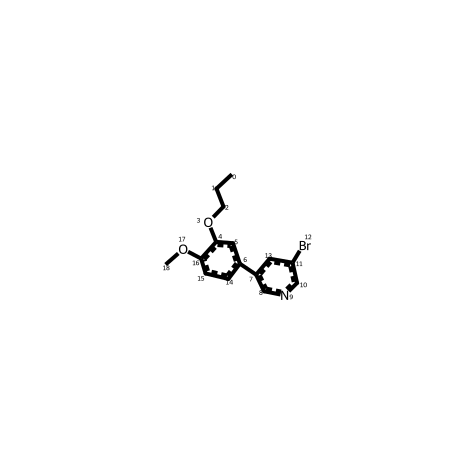 CCCOc1cc(-c2cncc(Br)c2)ccc1OC